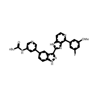 CCCCC(=O)Nc1cncc(-c2ccc3[nH]nc(-c4nc5c(-c6cc(F)cc(OC)c6)nccc5[nH]4)c3c2)c1